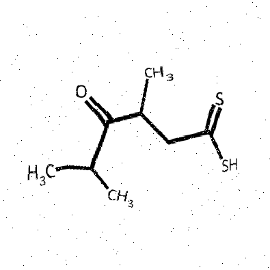 CC(C)C(=O)C(C)CC(=S)S